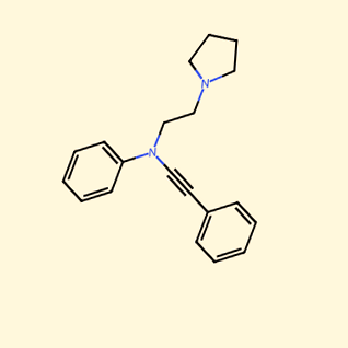 C(#CN(CCN1CCCC1)c1ccccc1)c1ccccc1